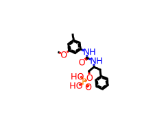 COc1cc(C)cc(NC(=O)NC(COP(=O)(O)O)Cc2ccccc2)c1